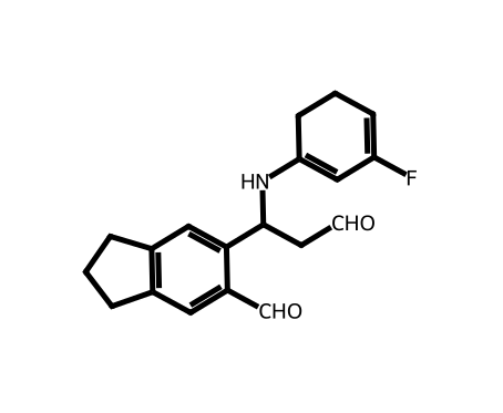 O=CCC(NC1=CC(F)=CCC1)c1cc2c(cc1C=O)CCC2